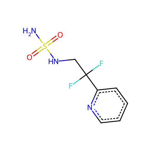 NS(=O)(=O)NCC(F)(F)c1ccccn1